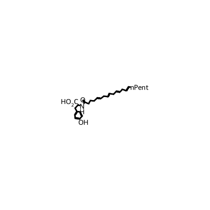 CCCCCC=CCC=CCC=CCC=CCCCC(=O)NC(Cc1ccc(O)cc1)C(=O)O